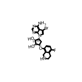 Nc1ncnc2c1c(Br)cn2[C@@H]1C[C@H](Oc2ccc(F)c3c2CNCC3)[C@@H](O)[C@H]1O